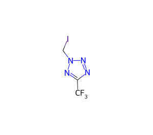 FC(F)(F)c1nnn(CI)n1